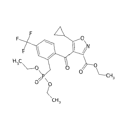 CCOC(=O)c1noc(C2CC2)c1C(=O)c1ccc(C(F)(F)F)cc1CP(=O)(OCC)OCC